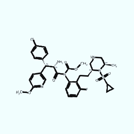 COC(=O)N(C(=O)[C@@H](N)[C@@H](c1ccc(Cl)cc1)c1ccc(OC)nc1)c1cccc(F)c1CC[C@H]1CNC[C@@H](C)N1S(=O)(=O)C1CC1